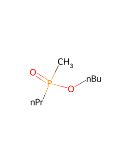 CCCCOP(C)(=O)CCC